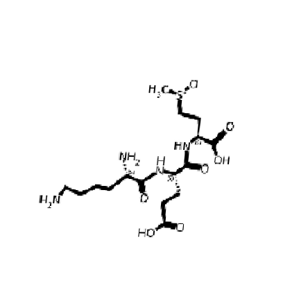 C[S+]([O-])CC[C@H](NC(=O)[C@H](CCC(=O)O)NC(=O)[C@@H](N)CCCCN)C(=O)O